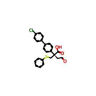 O=CC[C@](CSc1ccccc1)(C(=O)O)c1ccc(-c2ccc(Cl)cc2)cc1